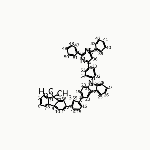 CC1(C)c2ccccc2-c2ccc(-c3cccc(-c4ccc5c(c4)c4ccccc4n5-c4ccc(-c5cc(-c6ccccc6)nc(-c6ccccc6)n5)cc4)c3)cc21